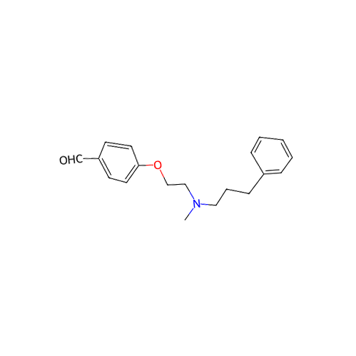 CN(CCCc1ccccc1)CCOc1ccc(C=O)cc1